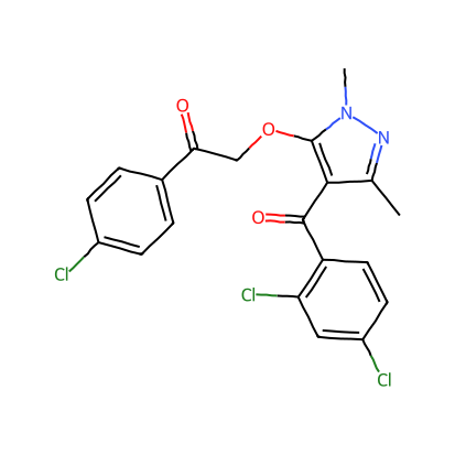 Cc1nn(C)c(OCC(=O)c2ccc(Cl)cc2)c1C(=O)c1ccc(Cl)cc1Cl